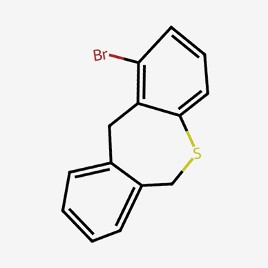 Brc1cccc2c1Cc1ccccc1CS2